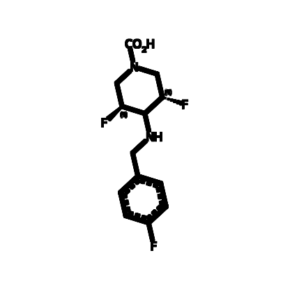 O=C(O)N1C[C@H](F)C(NCc2ccc(F)cc2)[C@@H](F)C1